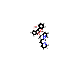 O=C(OCC[C@@H](Cc1ccccn1)CN1CCCC1)C(O)(c1ccccc1)C1CCCC1